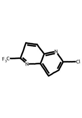 FC(F)(F)c1ccc2nc(Cl)ccc2n1